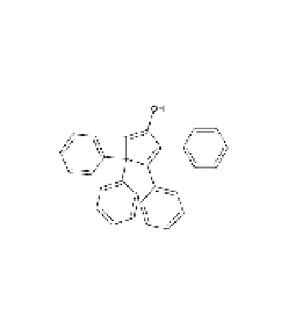 OC1=[C]C(c2ccccc2)(c2ccccc2)C(c2ccccc2)=C1c1ccccc1